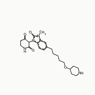 Cn1c(=O)n(C2C(=O)CCNC2=O)c2ccc(CCCCCOC3CCNCC3)cc21